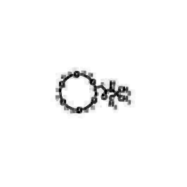 CC(C)(C)NC(=O)CC1COCCOCCOCCOCCOCCO1